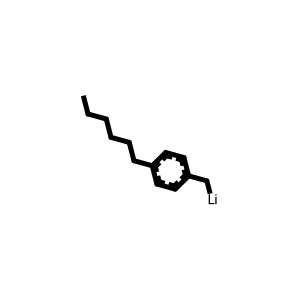 [Li][CH2]c1ccc(CCCCCC)cc1